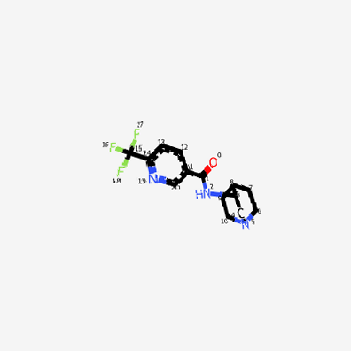 O=C(NC1CN2CCC1CC2)c1ccc(C(F)(F)F)nc1